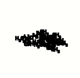 CCC(CO)(CO)COCCC[Si](C)(C)O[Si]12O[Si](C)(C)O[Si]3(C)O[Si]4(C)O[Si](C)(OC)O[Si](C)(O[Si](C)(O4)O[Si](C)(O3)O1)O2